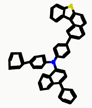 c1ccc(-c2ccc(N(c3ccc(-c4ccc5ccc6sc7ccccc7c6c5c4)cc3)c3ccc(-c4ccccc4)c4ccccc34)cc2)cc1